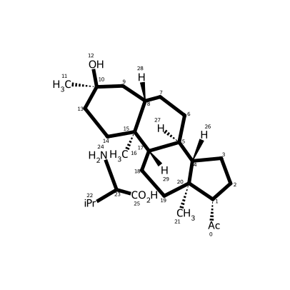 CC(=O)[C@H]1CC[C@H]2[C@@H]3CC[C@H]4C[C@](C)(O)CC[C@]4(C)[C@H]3CC[C@]12C.CC(C)C(N)C(=O)O